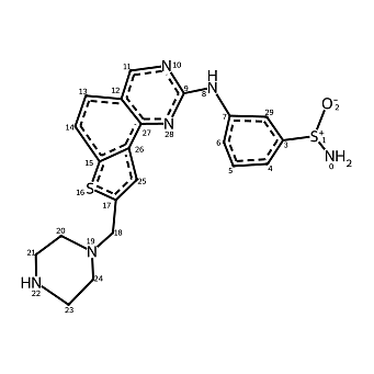 N[S+]([O-])c1cccc(Nc2ncc3ccc4sc(CN5CCNCC5)cc4c3n2)c1